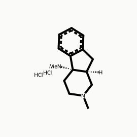 CN[C@@]12CCN(C)C[C@@H]1Cc1ccccc12.Cl.Cl